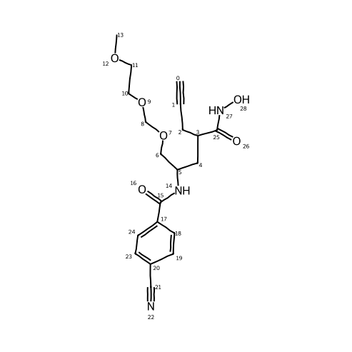 C#CCC(CC(COCOCCOC)NC(=O)c1ccc(C#N)cc1)C(=O)NO